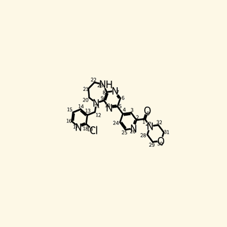 O=C(c1cc(-c2cnc3c(n2)N(Cc2cccnc2Cl)CCCN3)ccn1)N1CCOCC1